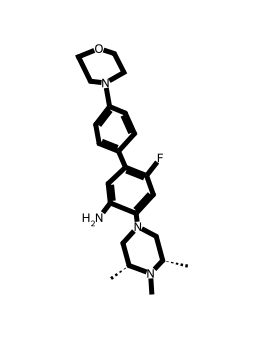 C[C@@H]1CN(c2cc(F)c(-c3ccc(N4CCOCC4)cc3)cc2N)C[C@H](C)N1C